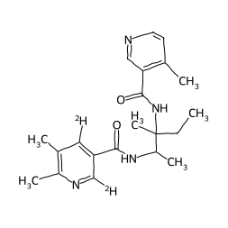 [2H]c1nc(C)c(C)c([2H])c1C(=O)NC(C)C(C)(CC)NC(=O)c1cnccc1C